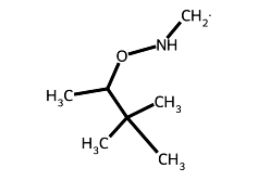 [CH2]NOC(C)C(C)(C)C